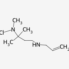 C=CCNCCC(C)(C)N(C)Cl